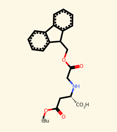 CC(C)(C)OC(=O)C[C@H](NCC(=O)OCC1c2ccccc2-c2ccccc21)C(=O)O